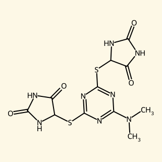 CN(C)c1nc(SC2NC(=O)NC2=O)nc(SC2NC(=O)NC2=O)n1